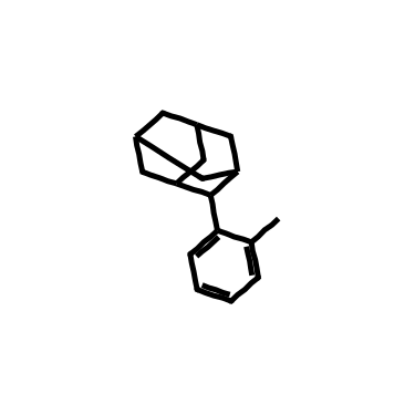 Cc1ccccc1C1C2CC3CC(C2)CC1C3